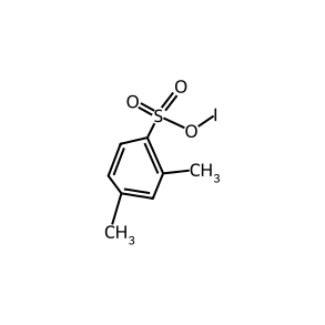 Cc1ccc(S(=O)(=O)OI)c(C)c1